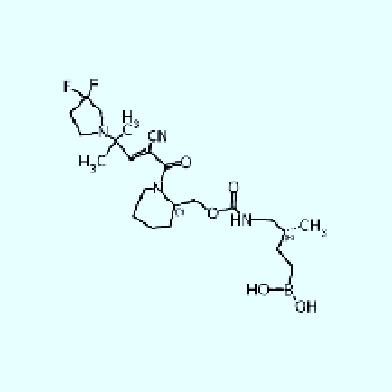 C[C@H](CCB(O)O)CNC(=O)OC[C@H]1CCCCN1C(=O)C(C#N)=CC(C)(C)N1CCC(F)(F)C1